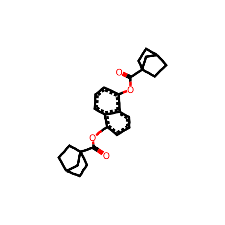 O=C(Oc1cccc2c(OC(=O)C34CCC(CC3)C4)cccc12)C12CCC(CC1)C2